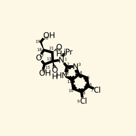 CC(C)N(c1nc2cc(Cl)c(Cl)cc2[nH]1)[C@]1(O)C(O)O[C@@H](CO)[C@@H]1O